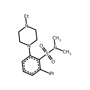 CCN1CCN(c2cccc(C(C)C)c2S(=O)(=O)N(C)C)CC1